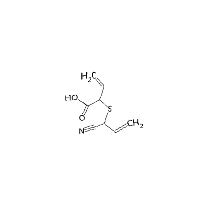 C=CC(C#N)SC(C=C)C(=O)O